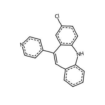 Clc1ccc2c(c1)C(c1ccncc1)=Cc1ccccc1N2